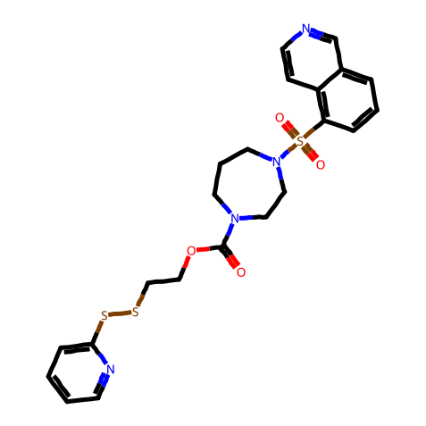 O=C(OCCSSc1ccccn1)N1CCCN(S(=O)(=O)c2cccc3cnccc23)CC1